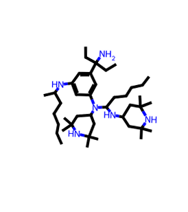 CCCCCC(C)Nc1cc(N(C2CC(C)(C)NC(C)(C)C2)C(CCCCC)NC2CC(C)(C)NC(C)(C)C2)cc(C(N)(CC)CC)c1